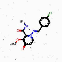 CCCCOc1c(C(=O)NC(C)C)n(/N=C/c2ccc(Cl)cc2)ccc1=O